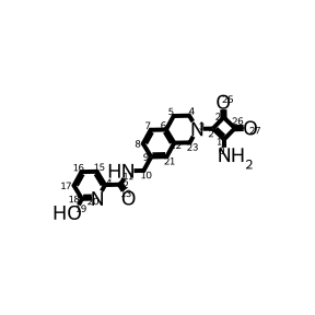 Nc1c(N2CCc3ccc(CNC(=O)c4cccc(O)n4)cc3C2)c(=O)c1=O